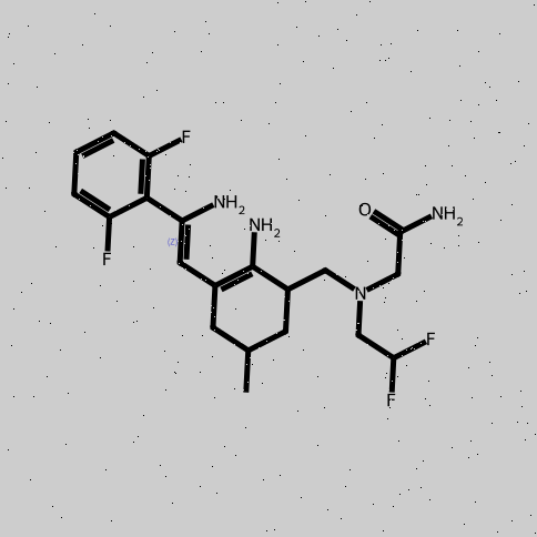 CC1CC(/C=C(\N)c2c(F)cccc2F)=C(N)C(CN(CC(N)=O)CC(F)F)C1